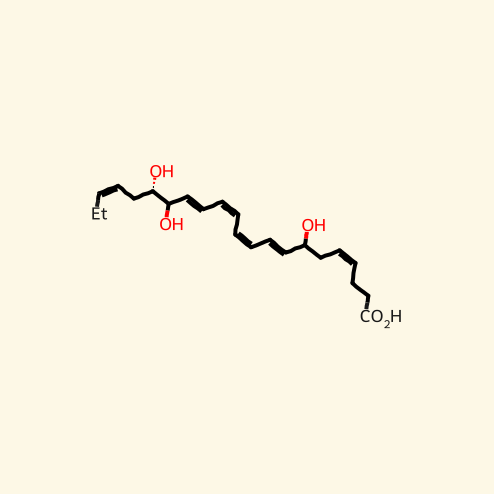 CC/C=C\C[C@H](O)C(O)/C=C/C=C\C=C/C=C/C(O)C/C=C\CCC(=O)O